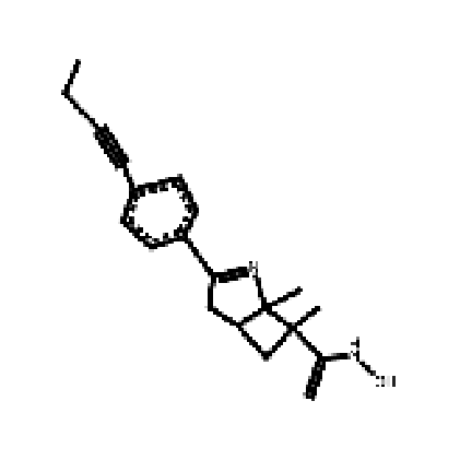 C=C(NO)C1(C)CC2CC(c3ccc(C#CCC)cc3)=NC21C